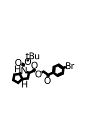 CC(C)(C)OC(=O)N1C(C(=O)OCC(=O)c2ccc(Br)cc2)C[C@@H]2CCC[C@@H]21